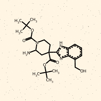 CC(C)(C)OC(=O)N1CCC(C(=O)OC(C)(C)C)(c2nc3c(CO)cccc3[nH]2)CC1N